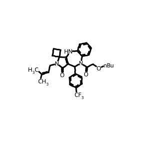 CCCCOCC(=O)N1c2ccccc2NC2=C(C(=O)N(CC=C(C)C)C23CCC3)C1c1ccc(C(F)(F)F)cc1